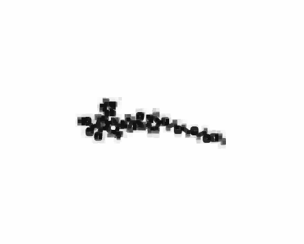 COCCOCCOCCOc1ccc(NC(=O)C2CN(c3nc4c(cc3F)c(=O)c(C(=O)O)cn4-c3ncns3)C2)nc1